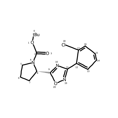 CC(C)(C)OC(=O)N1CCC[C@H]1c1nc(-c2ccccc2Cl)no1